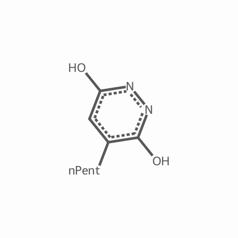 CCCCCc1cc(O)nnc1O